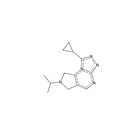 CC(C)N1Cc2cnc3nnc(C4CC4)n3c2C1